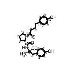 C[C@@](Cc1ccc(O)cc1)(NC(=O)[C@@H]1CCCN1C(=O)CCCc1ccc(O)cc1)C(=O)O